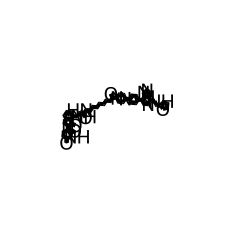 O=C(CNc1cccc2c1C(=O)N(C1CCC(=O)NC1=O)C2)NCCCCCCCC(=O)N1CCN(c2ccc(-c3cnc(NCc4ccco4)n4cnnc34)cc2)CC1